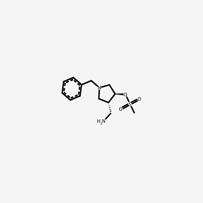 CS(=O)(=O)O[C@@H]1CN(Cc2ccccc2)C[C@H]1CN